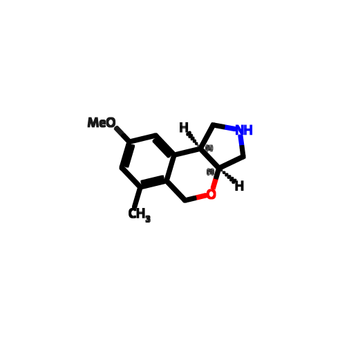 COc1cc(C)c2c(c1)[C@H]1CNC[C@H]1OC2